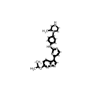 CC(C)Oc1ccc2c(-c3ccnc(Nc4ccc(N5CCNCC5C)cc4)n3)cnn2n1